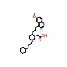 COc1ccc2ncc(Cl)c(CCC[C@@H]3CCN(CCSC4CCCCC4)C[C@@H]3CC(=O)O)c2c1